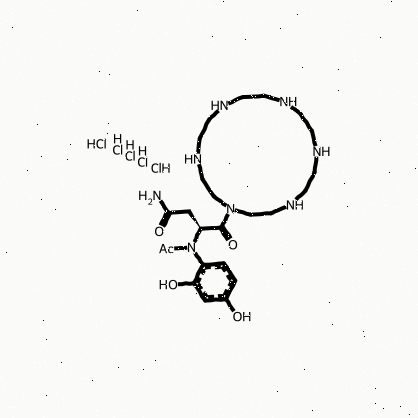 CC(=O)N(c1ccc(O)cc1O)[C@@H](CC(N)=O)C(=O)N1CCNCCNCCNCCNCCNCC1.Cl.Cl.Cl.Cl.Cl